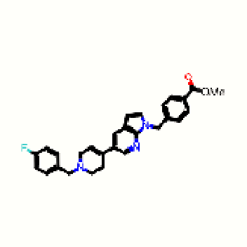 COC(=O)c1ccc(Cn2ccc3cc(C4=CCN(Cc5ccc(F)cc5)CC4)cnc32)cc1